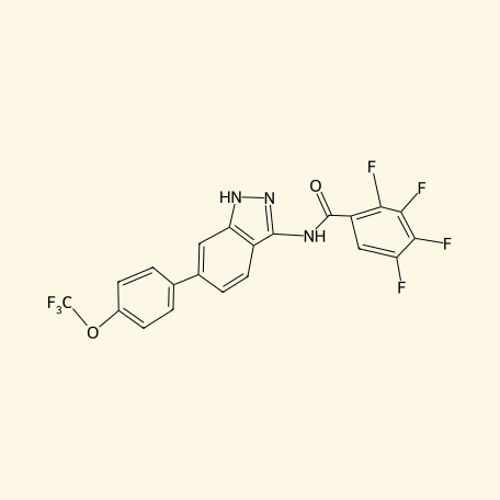 O=C(Nc1n[nH]c2cc(-c3ccc(OC(F)(F)F)cc3)ccc12)c1cc(F)c(F)c(F)c1F